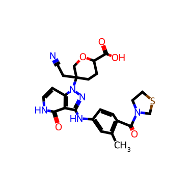 Cc1cc(Nc2nn(C3(CC#N)CCC(C(=O)O)OC3)c3cc[nH]c(=O)c23)ccc1C(=O)N1CCSC1